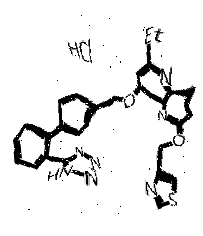 CCc1cc(OCc2ccc(-c3ccccc3-c3nnn[nH]3)cc2)c2nc(OCc3cscn3)ccc2n1.Cl